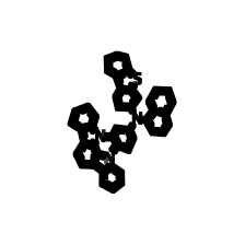 c1ccc2c(N(c3ccc4c(c3)sc3ccccc34)c3ccc4c(c3)n3c5ccccc5c5ccc6c7ccccc7n4c6c53)cccc2c1